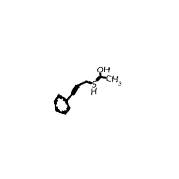 CC(O)=[SH]CC#Cc1ccccc1